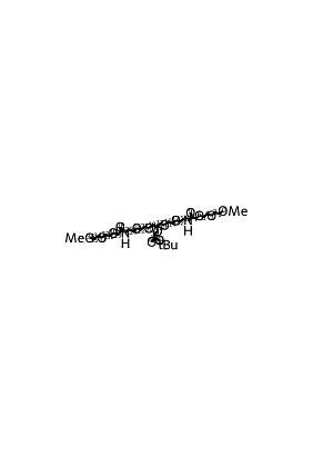 COCCOCCOCC(=O)NCCOCCOCC(COCCOCCNC(=O)COCCOCCOC)OCC(=O)OC(C)(C)C